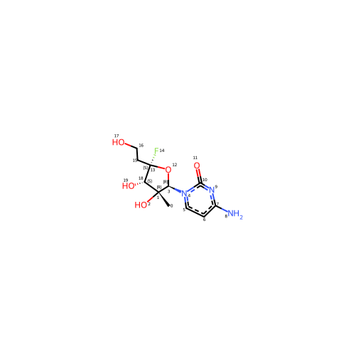 C[C@]1(O)[C@H](n2ccc(N)nc2=O)O[C@](F)(CCO)[C@H]1O